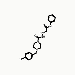 O=C(CNNC(=O)N1CCN(Cc2ccc(Cl)cc2)CC1)Nc1ccccc1